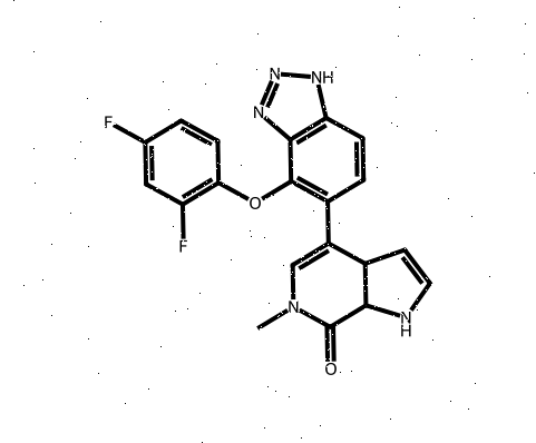 CN1C=C(c2ccc3[nH]nnc3c2Oc2ccc(F)cc2F)C2C=CNC2C1=O